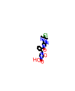 Cc1nc2c3c(nn2c(C)c1Cl)CN(C(=O)c1ccccc1CN1CCN(C(=O)O)CC1=O)C3